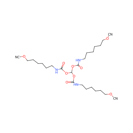 N#COCCCCCCNC(=O)OC(OC(=O)NCCCCCCOC#N)OC(=O)NCCCCCCOC#N